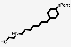 CCCCCC1CCC(CCCCCCCNCCO)CC1